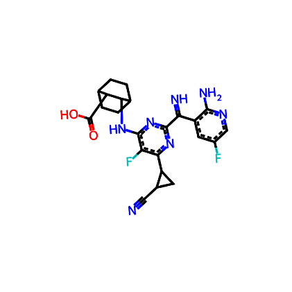 N#CC1CC1c1nc(C(=N)c2cc(F)cnc2N)nc(NC2C3CCC(CC3)C2C(=O)O)c1F